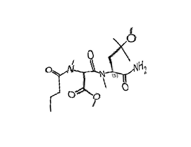 CCCC(=O)N(C)C(C(=O)OC)C(=O)N(C)[C@@H](CC(C)(C)OC)C(N)=O